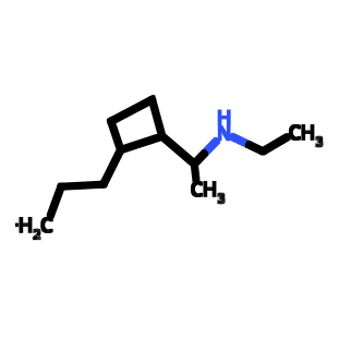 [CH2]CCC1CCC1C(C)NCC